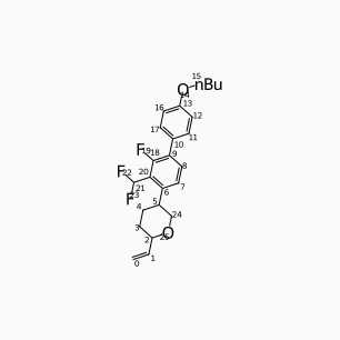 C=CC1CCC(c2ccc(-c3ccc(OCCCC)cc3)c(F)c2C(F)F)CO1